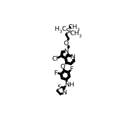 C[Si](C)(C)CCOCn1cc(Cl)c2c(Oc3c(F)cc(NC4=NCCS4)cc3F)ccnc21